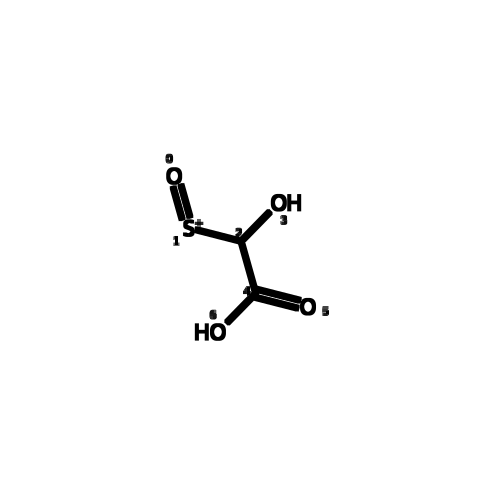 O=[S+]C(O)C(=O)O